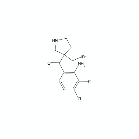 CC(C)CC1(C(=O)c2ccc(Cl)c(Cl)c2N)CCNC1